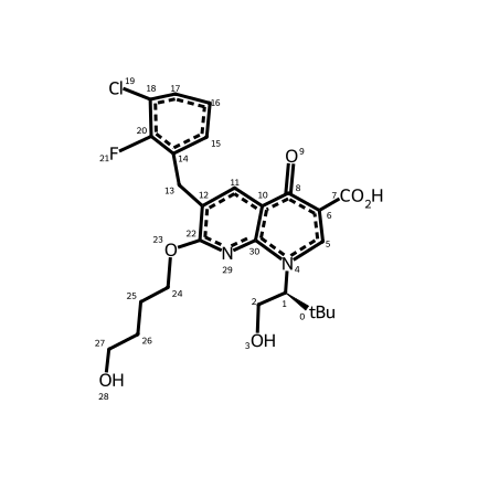 CC(C)(C)[C@@H](CO)n1cc(C(=O)O)c(=O)c2cc(Cc3cccc(Cl)c3F)c(OCCCCO)nc21